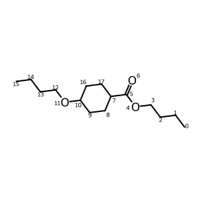 CCCCOC(=O)C1CCC(OCCCC)CC1